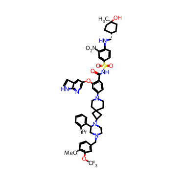 COc1ccc(CN2CCN(C3CC4(CCN(c5ccc(C(=O)NS(=O)(=O)c6ccc(NC[C@H]7CC[C@](C)(O)CC7)c([N+](=O)[O-])c6)c(Oc6cnc7[nH]ccc7c6)c5)CC4)C3)C(c3ccccc3C(C)C)C2)cc1OC(F)(F)F